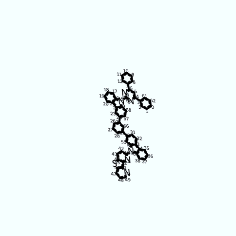 c1ccc(-c2cc(-c3ccccc3)nc(-n3c4ccccc4c4cc(-c5cccc(-c6ccc7c8ccccc8n(-c8ccc9sc%10cccnc%10c9n8)c7c6)c5)ccc43)n2)cc1